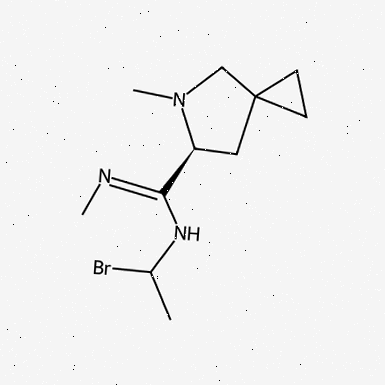 C/N=C(\NC(C)Br)[C@@H]1CC2(CC2)CN1C